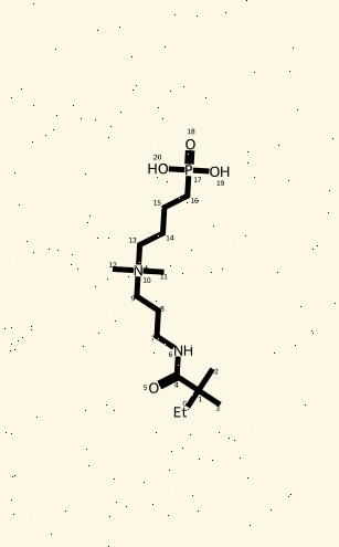 CCC(C)(C)C(=O)NCCC[N+](C)(C)CCCCP(=O)(O)O